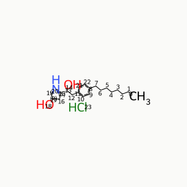 CCCCCCCCc1ccc(CC(O)[C@@H]2C[C@@H](O)CN2)cc1.Cl